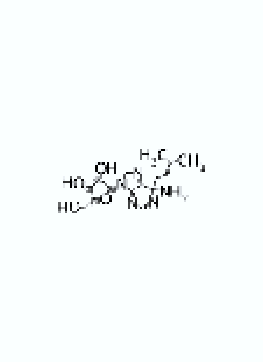 CC(C)=CCC1(N)N=CN=C2C1=NCN2[C@@H]1O[C@H](CO)[C@@H](O)[C@H]1O